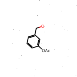 CC(=O)Oc1cccc(C[O])c1